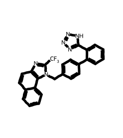 FC(F)(F)c1nc2ccc3ccccc3c2n1Cc1ccc(-c2ccccc2-c2nnn[nH]2)cc1